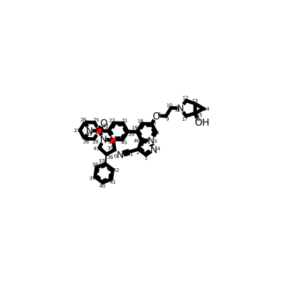 N#Cc1cnn2cc(OCCN3CC4CC4(O)C3)cc(-c3ccc(N4CC5CC(C4)N5C(=O)N4CC[C@@H](c5ccccc5)C4)nc3)c12